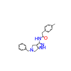 Cc1ccc(CC(=O)Nc2n[nH]c3c2CN(Cc2ccccc2)C3)cc1